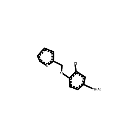 CC(=O)Nc1ccc(OCc2ccccn2)c(Cl)c1